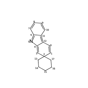 C1=CC2(C=C3N=c4ccccc4=C13)CCCCC2